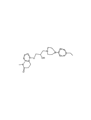 CCc1ccc(N2CCN(CC(O)COc3cccc4c3CCC(=O)N4C)CC2)cc1